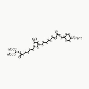 CCCCCCCCC(CCCCCCCC)OC(=O)CCCCCCCN(CCO)CCCCCCOC(=O)OCC1CCC(CCCCC)CC1